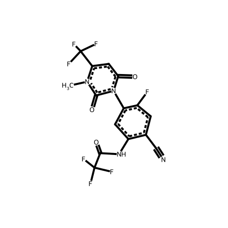 Cn1c(C(F)(F)F)cc(=O)n(-c2cc(NC(=O)C(F)(F)F)c(C#N)cc2F)c1=O